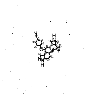 N#Cc1ccc(Oc2cc(-c3c[nH]nc3C(F)(F)F)nc3ccc4[nH]ncc4c23)cc1